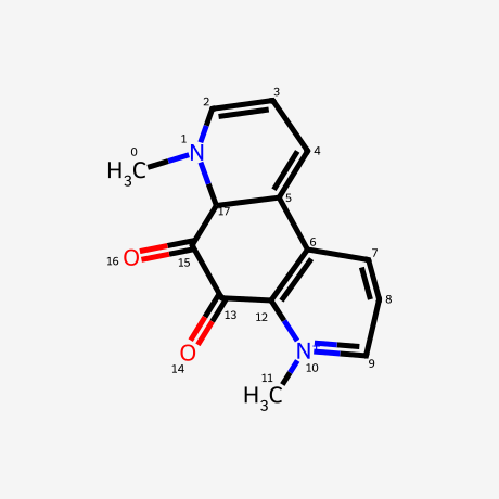 CN1C=CC=C2c3ccc[n+](C)c3C(=O)C(=O)C21